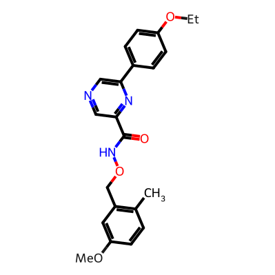 CCOc1ccc(-c2cncc(C(=O)NOCc3cc(OC)ccc3C)n2)cc1